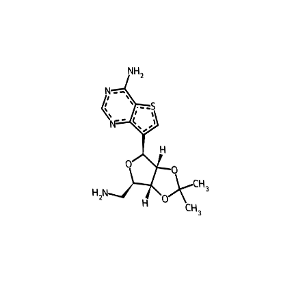 CC1(C)O[C@@H]2[C@H](O1)[C@@H](CN)O[C@H]2c1csc2c(N)ncnc12